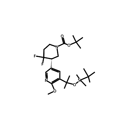 COc1ncc([C@H]2CN(C(=O)OC(C)(C)C)CCC2(F)F)cc1C(C)(C)O[Si](C)(C)C(C)(C)C